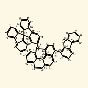 c1ccc2c(c1)-c1ccccc1C21c2ccccc2-c2ccc(N(c3ccc(-c4cccc5c4sc4ccccc45)cc3)c3cccc4ccc5ccccc5c34)cc21